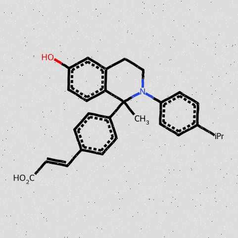 CC(C)c1ccc(N2CCc3cc(O)ccc3C2(C)c2ccc(C=CC(=O)O)cc2)cc1